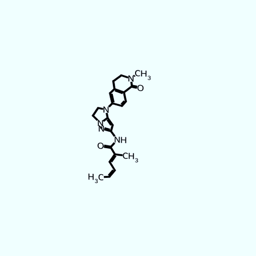 C/C=C\C=C(/C)C(=O)Nc1cc2n(n1)CCN2c1ccc2c(c1)CCN(C)C2=O